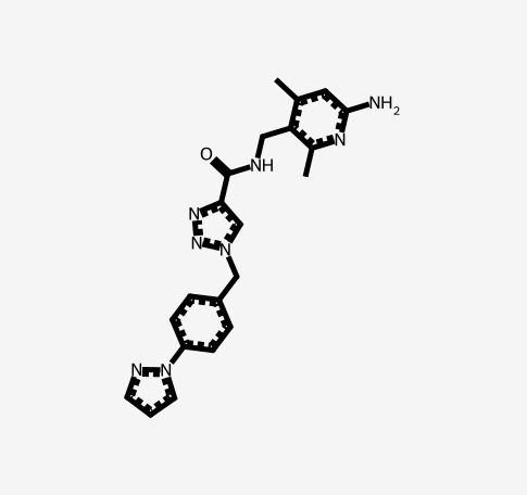 Cc1cc(N)nc(C)c1CNC(=O)c1cn(Cc2ccc(-n3cccn3)cc2)nn1